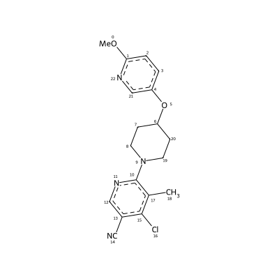 COc1ccc(OC2CCN(c3ncc(C#N)c(Cl)c3C)CC2)cn1